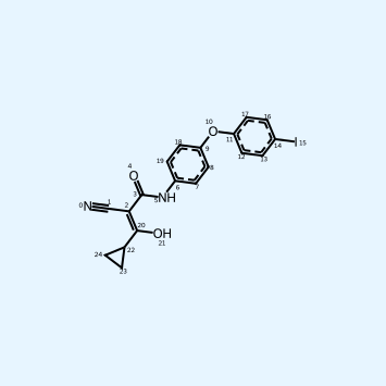 N#CC(C(=O)Nc1ccc(Oc2ccc(I)cc2)cc1)=C(O)C1CC1